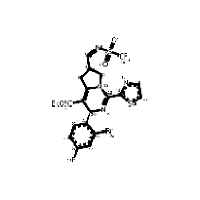 CCOC(=O)C1=C2CC(/C=N\S(=O)(=O)C(F)(F)F)CN2C(c2nccs2)=N[C@H]1c1ccc(F)cc1Br